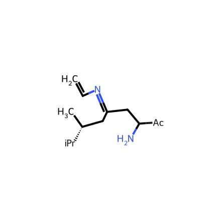 C=C/N=C(/CC(N)C(C)=O)C[C@@H](C)C(C)C